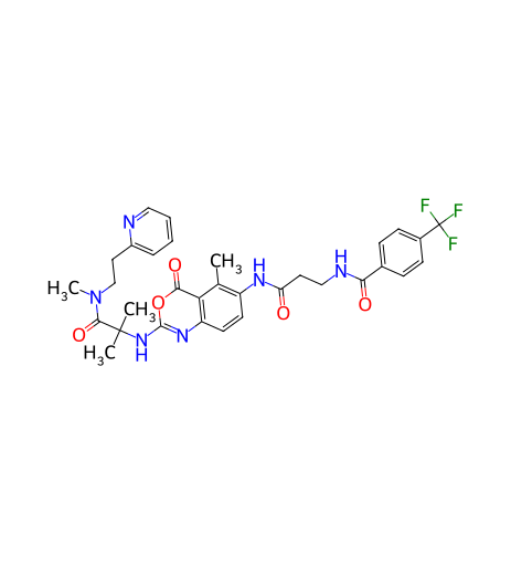 Cc1c(NC(=O)CCNC(=O)c2ccc(C(F)(F)F)cc2)ccc2nc(NC(C)(C)C(=O)N(C)CCc3ccccn3)oc(=O)c12